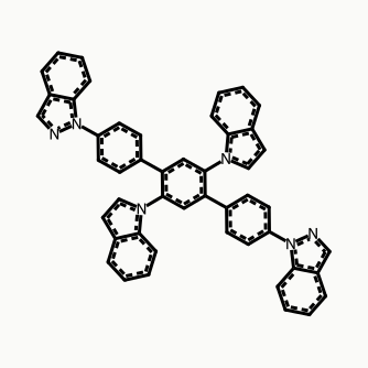 c1ccc2c(c1)ccn2-c1cc(-c2ccc(-n3ncc4ccccc43)cc2)c(-n2ccc3ccccc32)cc1-c1ccc(-n2ncc3ccccc32)cc1